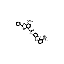 CCC(c1ccccc1Oc1ccc(NC(=O)Cc2ccc(OC)c(OC(=O)c3ccccc3)c2Br)cc1OC)C(C)(C)C